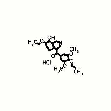 CCCOc1c(OC)cc(C(=O)c2cncc3c(O)c(OCC)ccc23)cc1OC.Cl